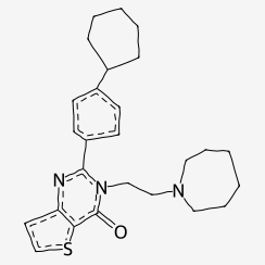 O=c1c2sccc2nc(-c2ccc(C3CCCCC3)cc2)n1CCN1CCCCCC1